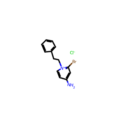 Nc1cc[n+](CCc2ccccc2)c(Br)c1.[Cl-]